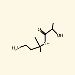 CC(O)C(=O)NC(C)(C)CCN